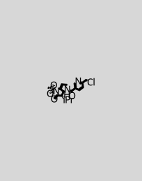 CC(C)[C@H]1C(=O)N(S(C)(=O)=O)C2=CCN(C(=O)c3ccc(CCl)nc3)[C@@H]21